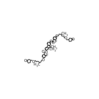 CC(CCCOCC1CCC2OC2C1)CCOc1ccc(C(=O)Oc2ccc3c(c2)C(C)(C)c2cc(OC(=O)c4ccc(OCCC(C)CCCOCC5CCC6OC6C5)cc4F)ccc2-3)c(F)c1